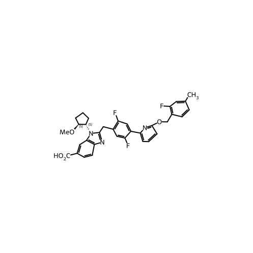 CO[C@H]1CCC[C@@H]1n1c(Cc2cc(F)c(-c3cccc(OCc4ccc(C)cc4F)n3)cc2F)nc2ccc(C(=O)O)cc21